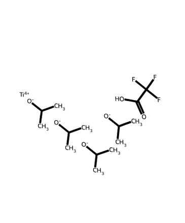 CC(C)[O-].CC(C)[O-].CC(C)[O-].CC(C)[O-].O=C(O)C(F)(F)F.[Ti+4]